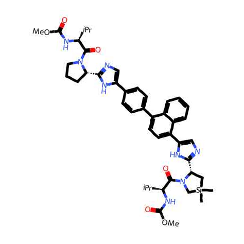 COC(=O)N[C@H](C(=O)N1CCC[C@H]1c1ncc(-c2ccc(-c3ccc(-c4cnc([C@@H]5C[Si](C)(C)CN5C(=O)[C@@H](NC(=O)OC)C(C)C)[nH]4)c4ccccc34)cc2)[nH]1)C(C)C